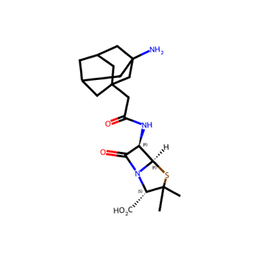 CC1(C)S[C@@H]2[C@H](NC(=O)CC34CC5CC(CC(N)(C5)C3)C4)C(=O)N2[C@H]1C(=O)O